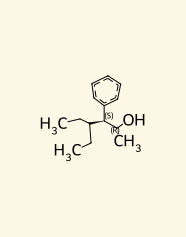 CCC(CC)[C@@H](c1ccccc1)[C@@H](C)O